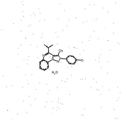 CC(C)C1=Nc2ccccc2N2[N]N(c3ccc(Cl)cc3)C(O)=C12.O